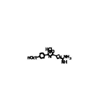 CCCCCCCCc1ccc(-c2noc(C3CN(C(=N)N)C3)n2)cc1.Cl